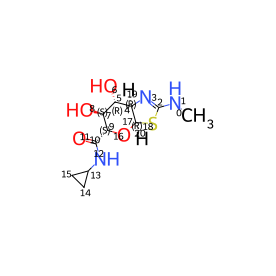 CNC1=N[C@@H]2[C@@H](O)[C@H](O)[C@@H](C(=O)NC3CC3)O[C@@H]2S1